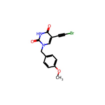 COc1ccc(Cn2cc(C#CBr)c(=O)[nH]c2=O)cc1